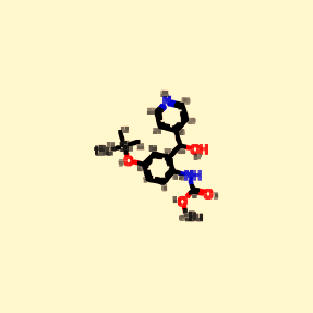 CC(C)(C)OC(=O)Nc1ccc(O[Si](C)(C)C(C)(C)C)cc1C(O)c1ccncc1